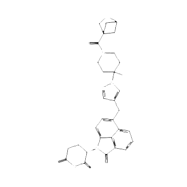 CC1(n2cc(Cc3ccc4c5c(cccc35)C(=O)N4[C@@H]3CCC(=O)NC3=O)cn2)CCN(C(=O)C23COC(C2)C3)CC1